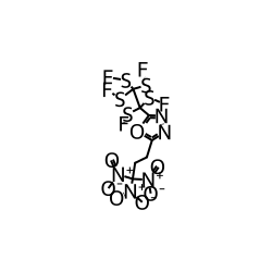 O=[N+]([O-])C(CCc1nnc(C(SF)(SF)C(SF)(SF)SF)o1)([N+](=O)[O-])[N+](=O)[O-]